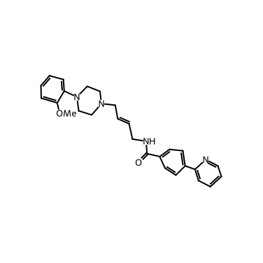 COc1ccccc1N1CCN(CC=CCNC(=O)c2ccc(-c3ccccn3)cc2)CC1